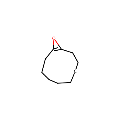 C1CCCCC2=C(CCC1)O2